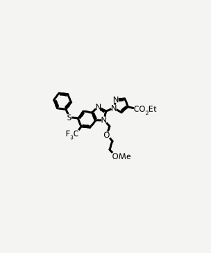 CCOC(=O)c1cnn(-c2nc3cc(Sc4ccccc4)c(C(F)(F)F)cc3n2COCCOC)c1